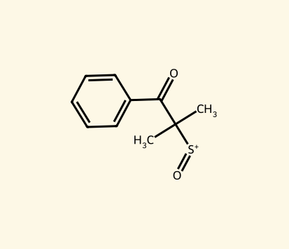 CC(C)([S+]=O)C(=O)c1ccccc1